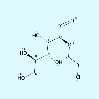 O=C[C@@H](OCCCl)[C@@H](O)[C@H](O)[C@H](O)CO